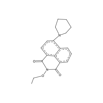 CCON1C(=O)c2cccc3c(N4CCCCC4)ccc(c23)C1=O